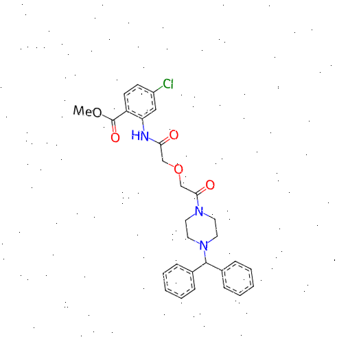 COC(=O)c1ccc(Cl)cc1NC(=O)COCC(=O)N1CCN(C(c2ccccc2)c2ccccc2)CC1